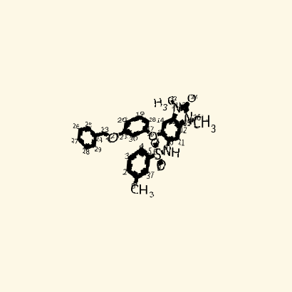 Cc1cccc(S(=O)(=O)Nc2cc3c(cc2Oc2cccc(OCc4ccccc4)c2)n(C)c(=O)n3C)c1